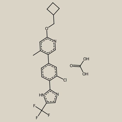 Cc1cc(OCC2CCC2)ncc1-c1ccc(-c2ncc(C(F)(F)F)[nH]2)c(Cl)c1.O=C(O)O